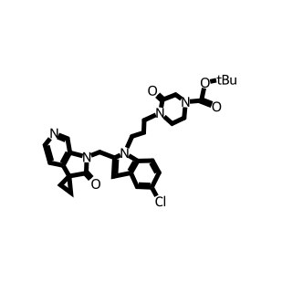 CC(C)(C)OC(=O)N1CCN(CCCn2c(CN3C(=O)C4(CC4)c4ccncc43)cc3cc(Cl)ccc32)C(=O)C1